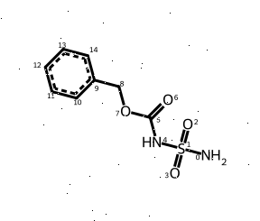 NS(=O)(=O)NC(=O)OCc1ccccc1